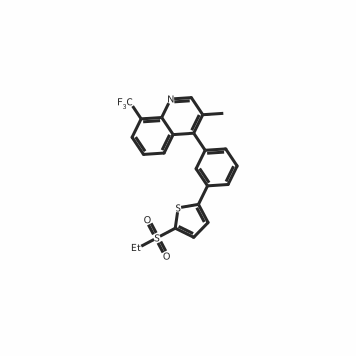 CCS(=O)(=O)c1ccc(-c2cccc(-c3c(C)cnc4c(C(F)(F)F)cccc34)c2)s1